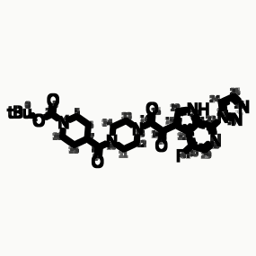 CC(C)(C)OC(=O)N1CCC(C(=O)N2CCN(C(=O)C(=O)c3c[nH]c4c(-n5ccnn5)ncc(F)c34)CC2)CC1